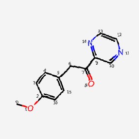 COc1ccc(CC(=O)c2cnccn2)cc1